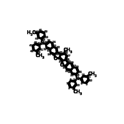 Cc1cccc(N(c2cccc(C)c2)c2ccc3cc4c(cc3c2)oc2c4cc(C)c3c4cc5ccc(N(c6cccc(C)c6)c6cccc(C)c6)cc5cc4oc23)c1